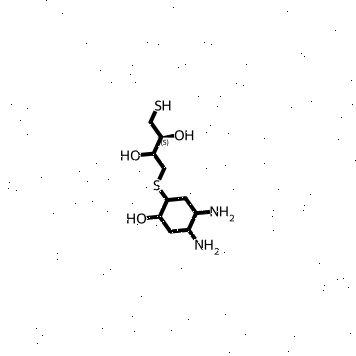 NC1CC(O)C(SCC(O)[C@H](O)CS)CC1N